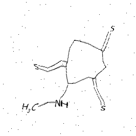 CNC1C(=S)CC(=S)CC1=S